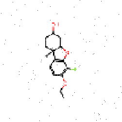 CCOc1ccc2c(c1F)OC1CC(O)CC[C@@H]21